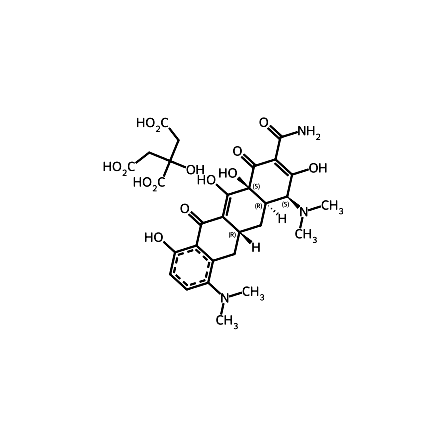 CN(C)c1ccc(O)c2c1C[C@H]1C[C@@H]3[C@H](N(C)C)C(O)=C(C(N)=O)C(=O)[C@@]3(O)C(O)=C1C2=O.O=C(O)CC(O)(CC(=O)O)C(=O)O